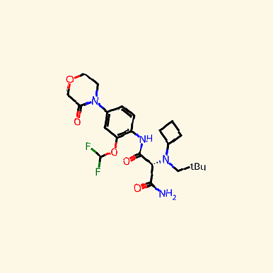 CC(C)(C)CN(C1CCC1)[C@H](C(N)=O)C(=O)Nc1ccc(N2CCOCC2=O)cc1OC(F)F